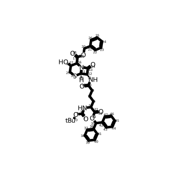 CC(C)(C)OC(=O)NC(CCCC(=O)N[C@@H]1C(=O)N2C(C(=O)OCc3ccccc3)C(O)CS[C@H]12)C(=O)OC(c1ccccc1)c1ccccc1